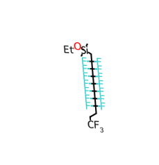 CCO[Si](C)(C)CC(F)(F)C(F)(F)C(F)(F)C(F)(F)C(F)(F)C(F)(F)C(F)(F)CCC(F)(F)F